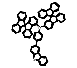 c1ccc2c(c1)-c1ccccc1C21c2ccccc2-c2ccc(N(c3ccc(-c4ccc5sc6ccccc6c5c4)cc3)c3cccc4c3-c3ccccc3C43c4ccccc4-c4ccccc43)cc21